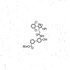 CCCc1onc(-c2c(Cl)cccc2Cl)c1CCC(=O)Nc1cc(-c2cccc(C(=O)OC)c2)ccc1O